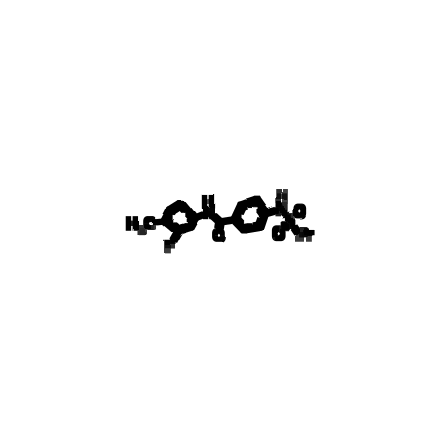 Cc1ccc(NC(=O)c2ccc(NS(=O)(=O)C(C)C)cc2)cc1F